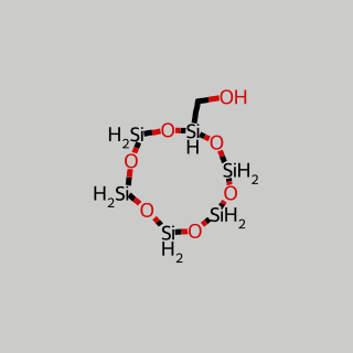 OC[SiH]1O[SiH2]O[SiH2]O[SiH2]O[SiH2]O[SiH2]O1